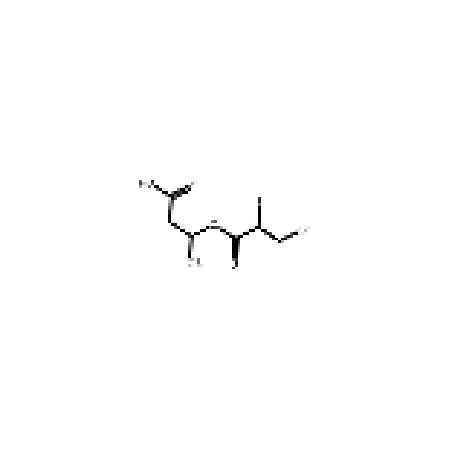 CC(CC(=O)O)OC(=O)C(Br)CBr